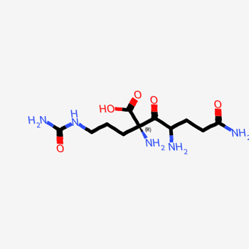 NC(=O)CCC(N)C(=O)[C@](N)(CCCNC(N)=O)C(=O)O